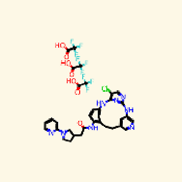 O=C(CC1CCN(c2ccccn2)C1)Nc1ccc2cc1CCc1cncc(c1)Nc1ncc(Cl)c(n1)N2.O=C(O)C(F)(F)F.O=C(O)C(F)(F)F.O=C(O)C(F)(F)F